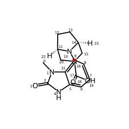 Cn1c(=O)[nH]c2cccc(N3[C@@H]4CC[C@H]3CN(C(=O)O)C4)c21